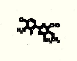 C=Cc1c(N)nc(-c2ccc(Cl)c(N)c2F)nc1C=O